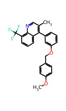 COc1ccc(COc2cccc(-c3c(C)cnc4c(C(F)(F)F)cccc34)c2)cc1